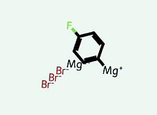 Fc1cc[c]([Mg+])cc1.[Br-].[Br-].[Br-].[Mg+2]